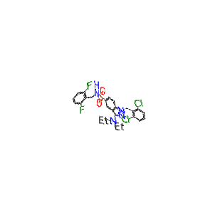 CCN(CC)c1nn(Cc2c(Cl)cccc2Cl)c2ccc(S(=O)(=O)NCc3c(F)cccc3F)cc12